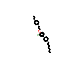 CCCCCCC[C@H]1CC[C@H](c2ccc(OCCC[C@H]3CC[C@H](CCC)CC3)c(F)c2)CC1